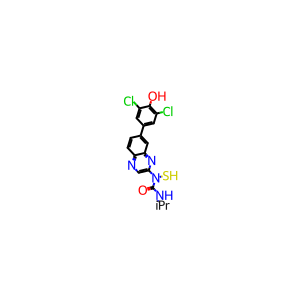 CC(C)NC(=O)N(S)c1cnc2ccc(-c3cc(Cl)c(O)c(Cl)c3)cc2n1